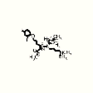 COC(=O)c1nc(N(CCCCN(C)C)C(=O)OC(C)(C)C)sc1CCCOc1ccc(I)cc1F